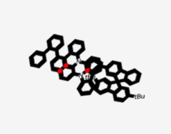 CC(C)(C)c1ccc2c(c1)C1(c3ccccc3-c3ccc(-c4ccc(N(c5ccccc5-c5ccccc5-c5ccccc5-c5ccccc5)c5ccccc5-n5c6ccccc6c6ccccc65)cc4)cc31)c1cc(C(C)(C)C)ccc1-2